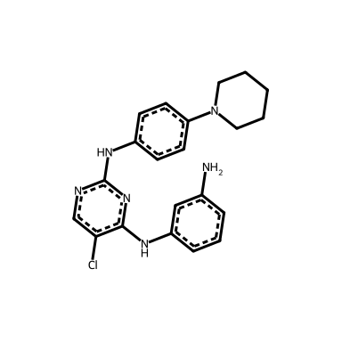 Nc1cccc(Nc2nc(Nc3ccc(N4CCCCC4)cc3)ncc2Cl)c1